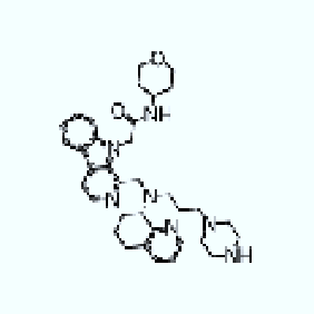 O=C(Cn1c2ccccc2c2ccnc(CN(CCCN3CCNCC3)[C@H]3CCCc4cccnc43)c21)NC1CCOCC1